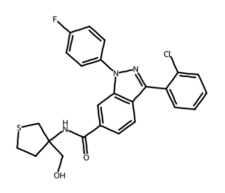 O=C(NC1(CO)CCSC1)c1ccc2c(-c3ccccc3Cl)nn(-c3ccc(F)cc3)c2c1